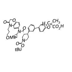 COCCCN1C(=O)COc2ccc(N(C(=O)[C@H]3CN(C(=O)OC(C)(C)C)CC[C@@H]3c3cccc(-c4ccc(OC(C)(C)C(=O)O)cc4)c3)C3CC3)cc21